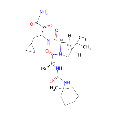 CC1(NC(=O)N[C@H](C(=O)N2C[C@H]3[C@@H]([C@H]2C(=O)NC(CC2CC2)C(=O)C(N)=O)C3(C)C)C(C)(C)C)CCCCC1